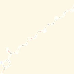 COCCOCCOCCOCCOC(=O)[C@@H]1CC(=O)N1